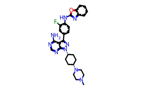 CN1CCN([C@H]2CC[C@@H](n3nc(-c4ccc(Nc5nc6ccccc6o5)c(F)c4)c4c(N)ncnc43)CC2)CC1